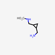 NCC1CC1CNC(=O)O